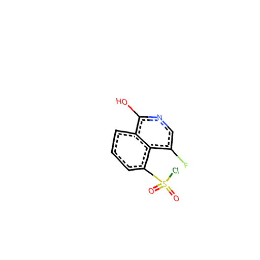 O=S(=O)(Cl)c1cccc2c(O)ncc(F)c12